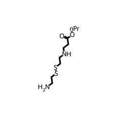 CCCOC(=O)CCNCCSSCCN